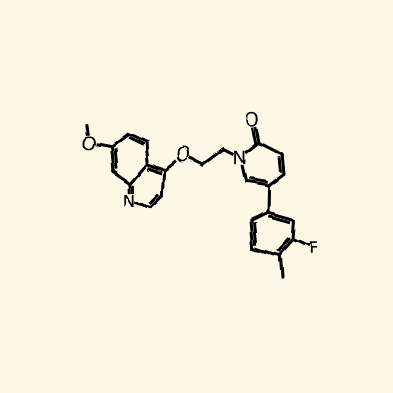 COc1ccc2c(OCCn3cc(-c4ccc(C)c(F)c4)ccc3=O)ccnc2c1